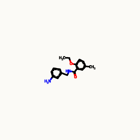 CCOc1ccc(C)cc1C(=O)NCc1cccc(N)c1